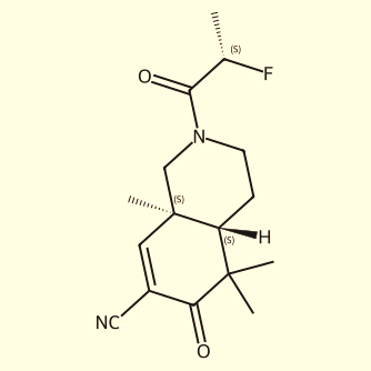 C[C@H](F)C(=O)N1CC[C@@H]2C(C)(C)C(=O)C(C#N)=C[C@@]2(C)C1